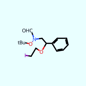 CC(C)(C)ON(C=O)CC(OCCI)c1ccccc1